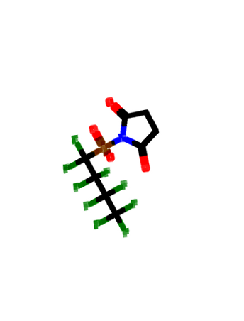 O=C1CCC(=O)N1S(=O)(=O)C(F)(F)C(F)(F)C(F)(F)C(F)(F)F